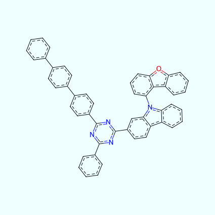 c1ccc(-c2ccc(-c3ccc(-c4nc(-c5ccccc5)nc(-c5ccc6c7ccccc7n(-c7cccc8oc9ccccc9c78)c6c5)n4)cc3)cc2)cc1